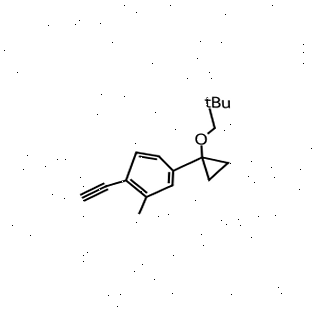 C#Cc1ccc(C2(OCC(C)(C)C)CC2)cc1C